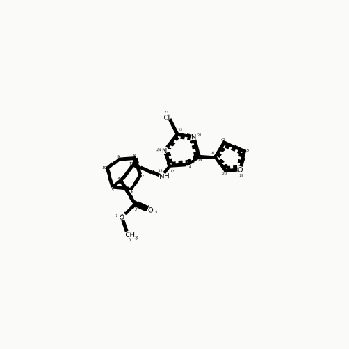 COC(=O)C1C2CCC(CC2)C1Nc1cc(-c2ccoc2)nc(Cl)n1